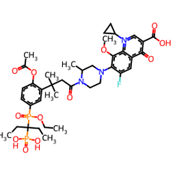 CCOP(=O)(c1ccc(OC(C)=O)c(C(C)(C)CC(=O)N2CCN(c3c(F)cc4c(=O)c(C(=O)O)cn(C5CC5)c4c3OC)CC2C)c1)C(CC)(CC)P(=O)(O)O